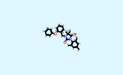 Cc1cc(C)c(N2C(=O)N(Cc3ccccc3Oc3ccccc3)C(C)(C)C2=O)c(C)c1